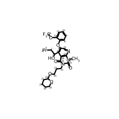 CC(C)CC(O)c1c(Oc2ccccc2OC(F)(F)F)cnc2c1c(=O)n(CCCOC1CCCCO1)c(=O)n2C